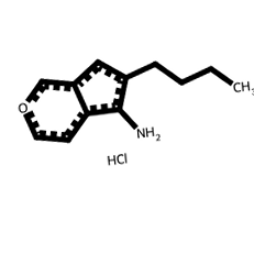 CCCCc1cc2coccc-2c1N.Cl